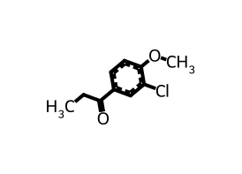 CCC(=O)c1ccc(OC)c(Cl)c1